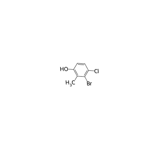 Cc1c(O)ccc(Cl)c1Br